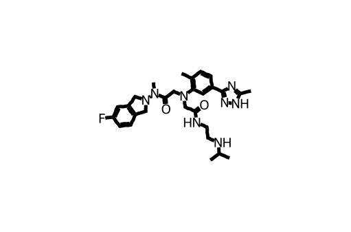 Cc1nc(-c2ccc(C)c(N(CC(=O)NCCNC(C)C)CC(=O)N(C)N3Cc4ccc(F)cc4C3)c2)n[nH]1